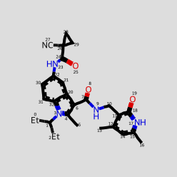 CCC(CC)n1c(C)c(C(=O)NCc2c(C)cc(C)[nH]c2=O)c2cc(NC(=O)C3(C#N)CC3)ccc21